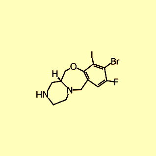 Fc1cc2c(c(I)c1Br)OC[C@H]1CNCCN1C2